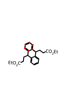 CCOC(=O)CCC12c3ccccc3C(CCC(=O)OCC)(c3ccccc31)c1ccccc12